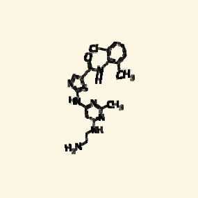 Cc1nc(NCCN)cc(Nc2ncc(C(=O)Nc3c(C)cccc3Cl)s2)n1